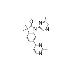 Cc1cncc(N2C(=O)C(C)(C)c3ccc(-c4ccnc(C)n4)cc32)n1